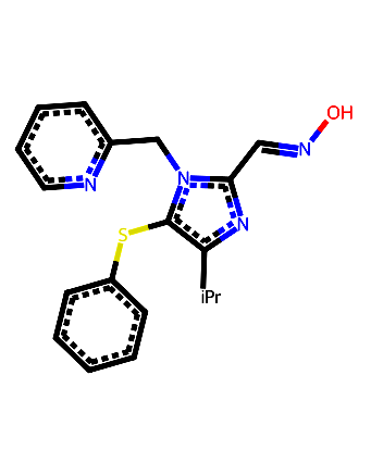 CC(C)c1nc(C=NO)n(Cc2ccccn2)c1Sc1ccccc1